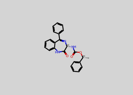 C[C@@H](OC(=O)N[C@H]1N=C(c2ccccc2)c2ccccc2NC1=O)c1ccccc1